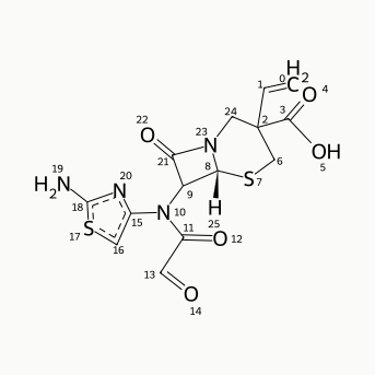 C=CC1(C(=O)O)CS[C@@H]2C(N(C(=O)C=O)c3csc(N)n3)C(=O)N2C1